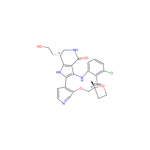 COc1c(Cl)cccc1Nc1c(-c2ccncc2OC[C@@]2(C)CCO2)[nH]c2c1C(=O)NC[C@H]2CCO